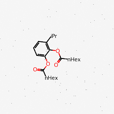 CCCCCCC(=O)Oc1cccc(C(C)C)c1OC(=O)CCCCCC